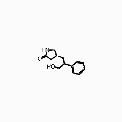 O=C1C[C@H](CC(CO)c2ccccc2)CN1